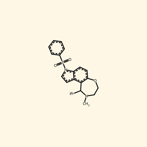 CC(C)C1c2c(ccc3c2ccn3S(=O)(=O)c2ccccc2)OCCN1C